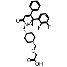 O=C(O)COC[C@H]1CC[C@H](Cn2nc(-c3cccc(F)c3F)c(-c3ccccc3)cc2=O)CC1